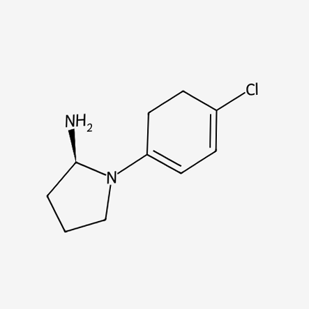 N[C@@H]1CCCN1C1=CC=C(Cl)CC1